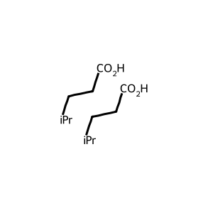 CC(C)CCC(=O)O.CC(C)CCC(=O)O